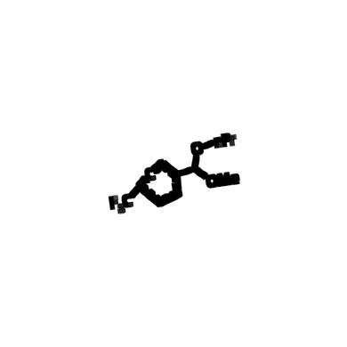 CCCOC(OC)c1ccc(C(F)(F)F)cc1